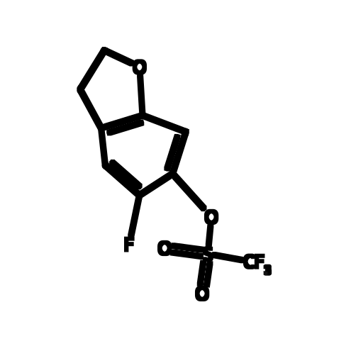 O=S(=O)(Oc1cc2c(cc1F)CCO2)C(F)(F)F